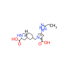 CCc1nnn([C@H]2C[C@@H](C(=O)O)N(CC3CC[C@H]4CNC(C(=O)O)CC4C3)C2)n1